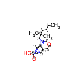 CCCCC(C)(C)CN1COCc2cn(C(=O)O)cc21